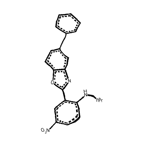 CCCNc1ccc([N+](=O)[O-])cc1-c1nc2cc(-c3ccccc3)ccc2o1